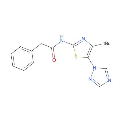 CC(C)(C)c1nc(NC(=O)Cc2ccccc2)sc1-n1cncn1